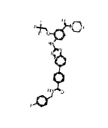 O=C(NCc1ccc(F)cc1)c1ccc(-c2ccc3nc(Nc4ccc(C(=O)N5CCOCC5)cc4OCC(F)(F)F)nn3c2)cc1